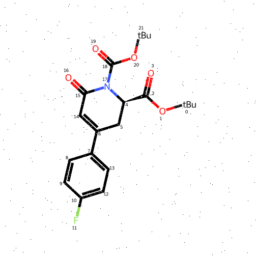 CC(C)(C)OC(=O)[C@H]1CC(c2ccc(F)cc2)=CC(=O)N1C(=O)OC(C)(C)C